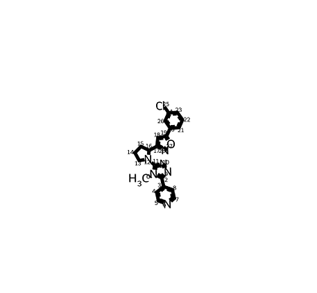 Cn1c(-c2ccncc2)nnc1N1CCCC1c1cc(-c2cccc(Cl)c2)on1